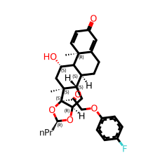 CCC[C@@H]1O[C@@H]2C[C@H]3[C@@H]4CCC5=CC(=O)C=C[C@]5(C)C4[C@@H](O)C[C@]3(C)[C@]2(C(=O)COc2ccc(F)cc2)O1